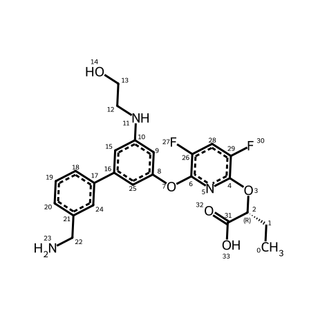 CC[C@@H](Oc1nc(Oc2cc(NCCO)cc(-c3cccc(CN)c3)c2)c(F)cc1F)C(=O)O